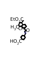 CCOC(=O)CC1=CCC(C)(C)c2cc(C(=O)/C=C/c3ccc(C(=O)O)cc3)ccc21